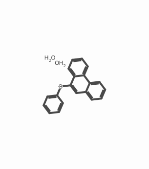 O.O.[B](c1ccccc1)c1cc2ccccc2c2ccccc12